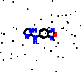 c1cc2nonc2cc1NC1=NCCN1